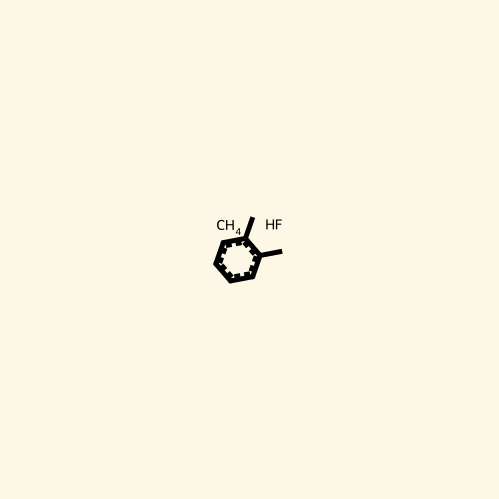 C.Cc1ccccc1C.F